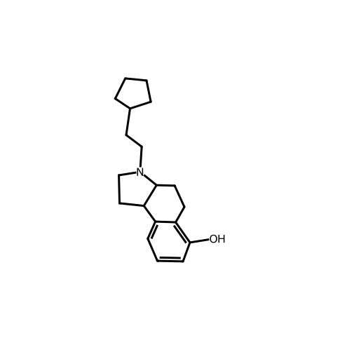 Oc1cccc2c1CCC1C2CCN1CCC1CCCC1